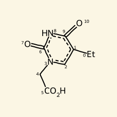 CCc1cn(CC(=O)O)c(=O)[nH]c1=O